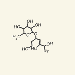 CC(C)C(O)/C(O)=C/C(CCO)OC1OC(C)C(O)C(O)C1O